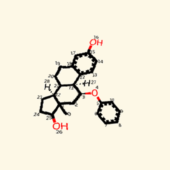 CC12C[C@H](Oc3ccccc3)[C@@H]3c4ccc(O)cc4CCC3[C@@H]1CCC2O